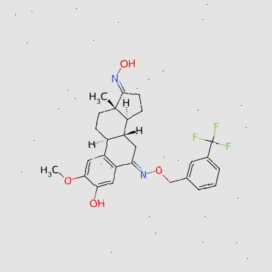 COc1cc2c(cc1O)C(=NOCc1cccc(C(F)(F)F)c1)C[C@@H]1[C@@H]2CC[C@]2(C)C(=NO)CC[C@@H]12